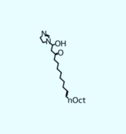 CCCCCCCCC=CCCCCCCCC(=O)CC(O)N1C=NCC1